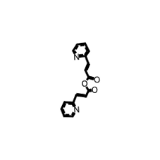 O=C(C=Cc1ccccn1)OC(=O)C=Cc1ccccn1